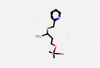 CC(C)(C)[Si](C)(C)OCCC(SCc1ccccn1)C(=O)O